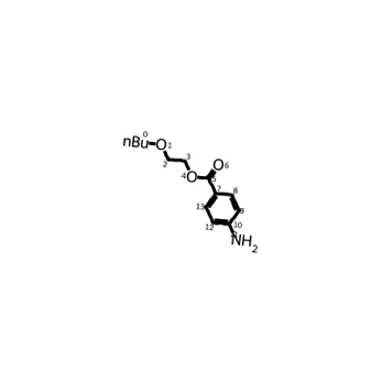 CCCCOCCOC(=O)c1ccc(N)cc1